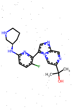 CC(C)(O)c1cn2c(-c3nc(N[C@@H]4CCCNC4)ccc3F)cnc2cn1